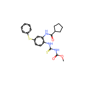 COC(=O)NC(=S)Nc1ccc(Sc2ccccc2)cc1NC(=O)C1CCCC1